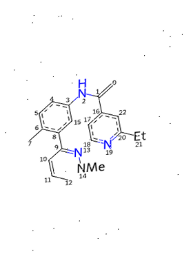 C=C(Nc1ccc(C)c(C(/C=C\C)=N/NC)c1)c1ccnc(CC)c1